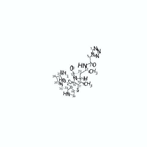 C[C@@H](NC(=O)Cn1cnnn1)[C@H]1C(=O)N2C(C(=O)O)=C(S[C@@H]3CN[C@H](CN4CCC(N)C4)C3)[C@H](C)[C@H]12